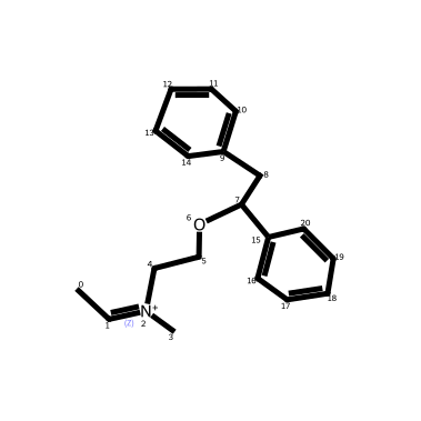 C/C=[N+](/C)CCOC(Cc1ccccc1)c1ccccc1